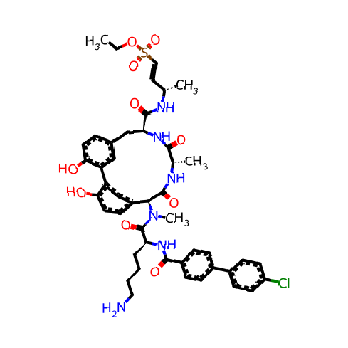 CCOS(=O)(=O)/C=C/[C@H](C)NC(=O)[C@@H]1Cc2ccc(O)c(c2)-c2cc(ccc2O)[C@H](N(C)C(=O)[C@H](CCCCN)NC(=O)c2ccc(-c3ccc(Cl)cc3)cc2)C(=O)N[C@@H](C)C(=O)N1